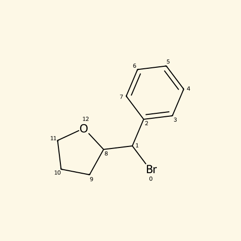 BrC(c1ccccc1)C1CCCO1